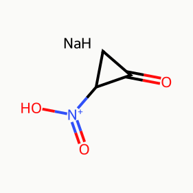 O=C1CC1[N+](=O)O.[NaH]